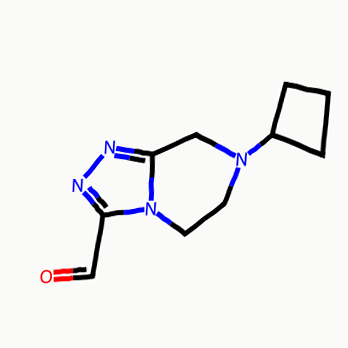 O=Cc1nnc2n1CCN(C1CCC1)C2